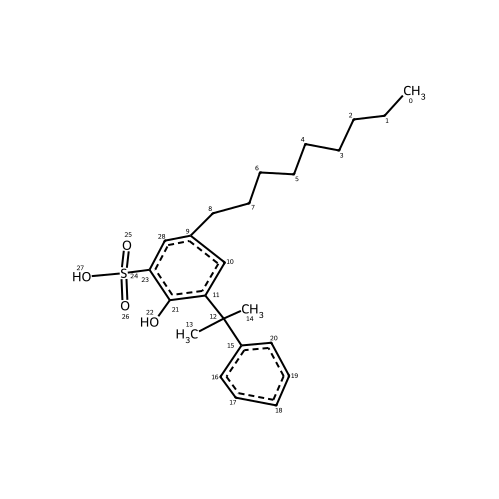 CCCCCCCCCc1cc(C(C)(C)c2ccccc2)c(O)c(S(=O)(=O)O)c1